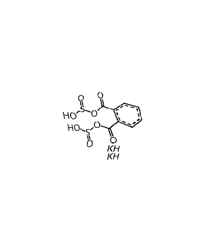 O=C(OS(=O)O)c1ccccc1C(=O)OS(=O)O.[KH].[KH]